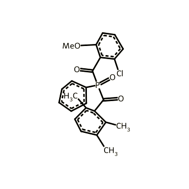 COc1cccc(Cl)c1C(=O)P(=O)(C(=O)c1c(C)ccc(C)c1C)c1ccccc1